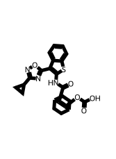 O=C(O)OC1=C(C(=O)Nc2sc3ccccc3c2-c2nc(C3CC3)no2)C2CCC1CC2